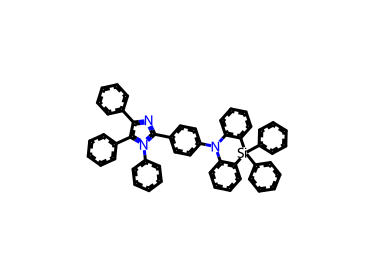 c1ccc(-c2nc(-c3ccc(N4c5ccccc5[Si](c5ccccc5)(c5ccccc5)c5ccccc54)cc3)n(-c3ccccc3)c2-c2ccccc2)cc1